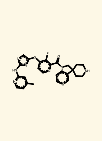 Cc1ccnc(Nc2ncc(Sc3ccnc(C(=O)NCC4(c5cccnc5)CCNCC4)c3F)s2)c1